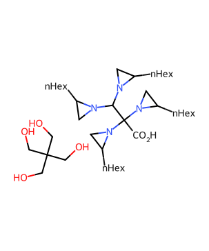 CCCCCCC1CN1C(N1CC1CCCCCC)C(C(=O)O)(N1CC1CCCCCC)N1CC1CCCCCC.OCC(CO)(CO)CO